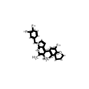 CCc1c(C)nc2c(ccn2Cc2ccc(F)c(F)c2)c1-c1cc(F)c2c(c1C)CCCO2